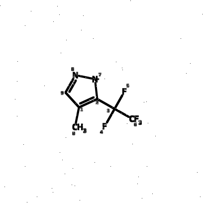 CC1=C(C(F)(F)C(F)(F)F)[N]N=C1